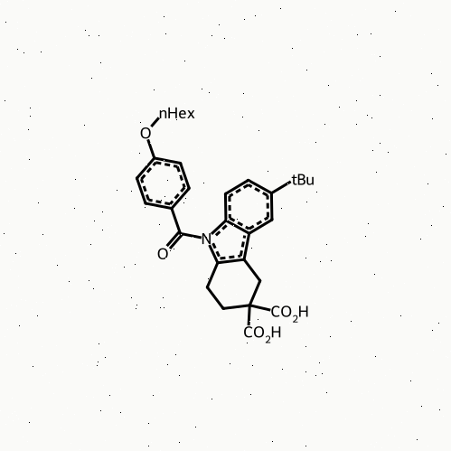 CCCCCCOc1ccc(C(=O)n2c3c(c4cc(C(C)(C)C)ccc42)CC(C(=O)O)(C(=O)O)CC3)cc1